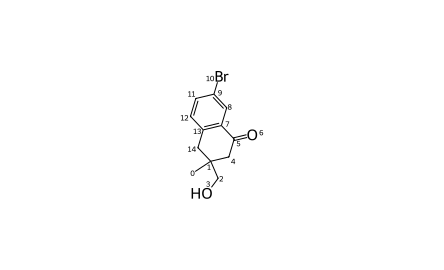 CC1(CO)CC(=O)c2cc(Br)ccc2C1